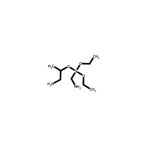 CCO[Si](CN)(OCC)OC(C)CN